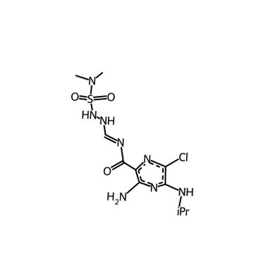 CC(C)Nc1nc(N)c(C(=O)N=CNNS(=O)(=O)N(C)C)nc1Cl